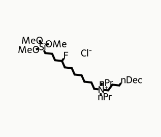 CCCCCCCCCCCCC[N+](CCC)(CCC)CCCCCCCC(F)CCC[Si](OC)(OC)OC.[Cl-]